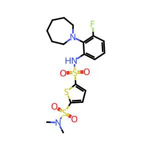 CN(C)S(=O)(=O)c1ccc(S(=O)(=O)Nc2cccc(F)c2N2CCCCCC2)s1